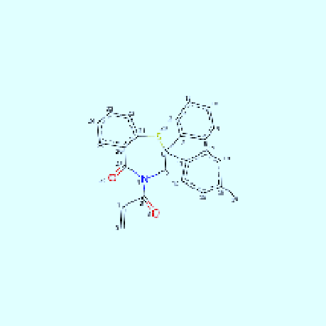 C=CC(=O)N1CC(c2ccccc2)(c2ccc(C)cc2)Sc2ccccc2C1=O